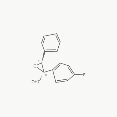 O=C[C@]1(c2ccc(F)cc2)O[C@H]1c1ccccc1